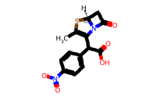 CC1=C(C(C(=O)O)c2ccc([N+](=O)[O-])cc2)N2C(=O)C[C@@H]2S1